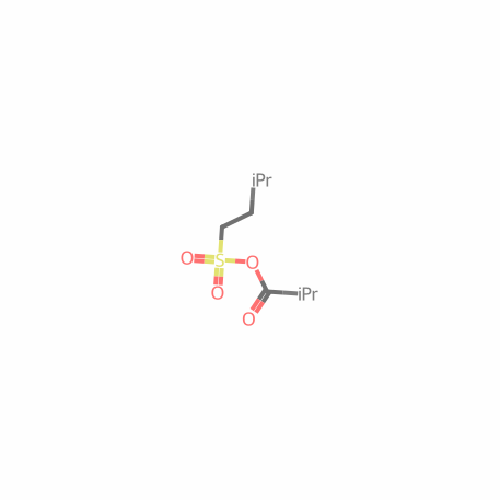 CC(C)CCS(=O)(=O)OC(=O)C(C)C